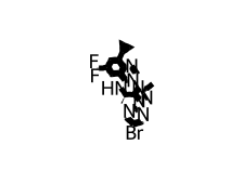 Cc1nc([C@H](C)Nc2ncnc3c(C4CC4)cc(C(F)F)cc23)n(-c2ncc(Br)cn2)n1